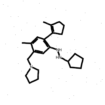 CC1=C(c2cc(C)c(CN3CCCC3)cc2NNC2CCCC2)CCC1